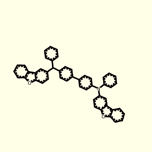 c1ccc(C(c2ccc(-c3ccc(N(c4ccccc4)c4ccc5oc6ccccc6c5c4)cc3)cc2)c2ccc3oc4ccccc4c3c2)cc1